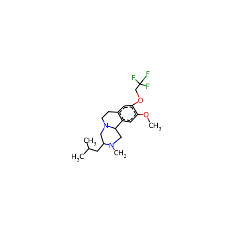 COc1cc2c(cc1OCC(F)(F)F)CCN1CC(CC(C)C)N(C)CC21